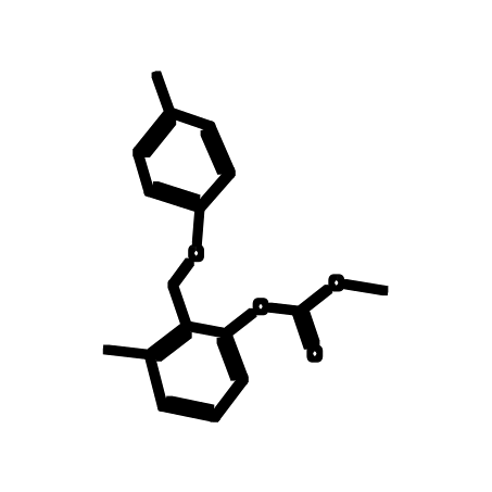 COC(=O)Oc1cccc(C)c1COc1ccc(C)cc1